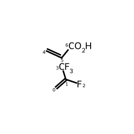 C=C(F)C(F)(F)F.C=CC(=O)O